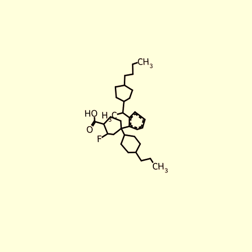 CCCCC1CCC(C(C)c2ccccc2C2(C3CCC(CCC)CC3)CCC(C(=O)O)C(F)C2)CC1